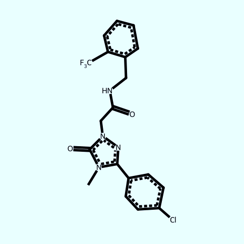 Cn1c(-c2ccc(Cl)cc2)nn(CC(=O)NCc2ccccc2C(F)(F)F)c1=O